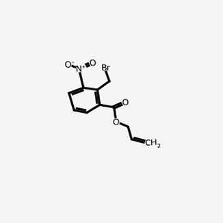 C=CCOC(=O)c1cccc([N+](=O)[O-])c1CBr